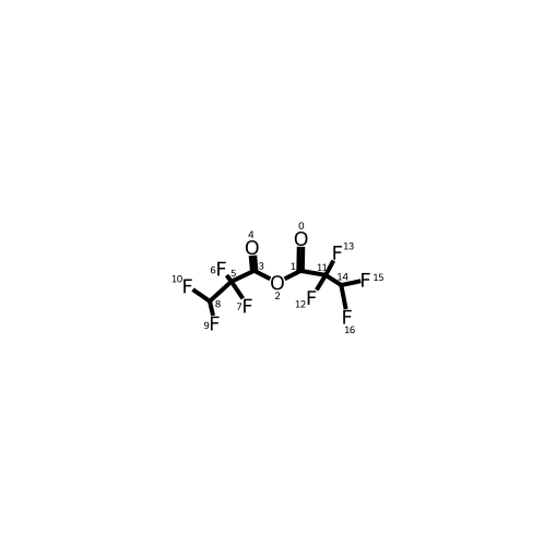 O=C(OC(=O)C(F)(F)C(F)F)C(F)(F)C(F)F